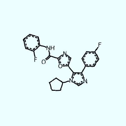 O=C(Nc1ccccc1F)c1ncc(-c2c(-c3ccc(F)cc3)ncn2C2CCCC2)o1